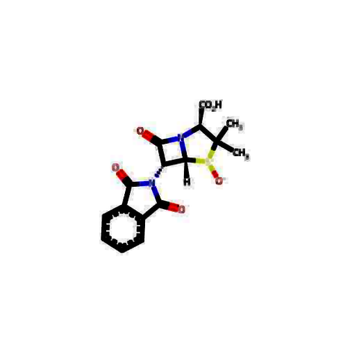 CC1(C)[C@H](C(=O)O)N2C(=O)[C@@H](N3C(=O)c4ccccc4C3=O)[C@H]2[S+]1[O-]